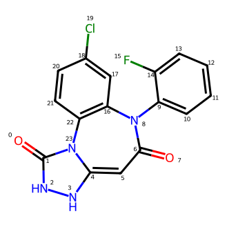 O=C1NNC2=CC(=O)N(c3ccccc3F)c3cc(Cl)ccc3N12